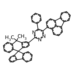 CC1(C)c2ccccc2C2(c3ccccc3-c3ccccc32)c2ccc(-c3nnc(-c4ccc5c6c(cccc46)-c4ccccc4-5)c(-c4ccccc4)n3)cc21